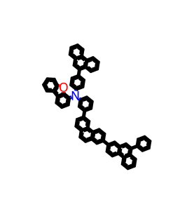 c1ccc(-c2cc3cc(-c4ccc5c(ccc6ccc(-c7cccc(N(c8ccc(-c9cc%10ccccc%10c%10ccccc9%10)cc8)c8cccc9c8oc8ccccc89)c7)cc65)c4)ccc3c3ccccc23)cc1